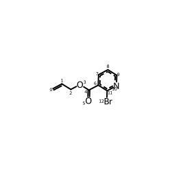 C=CCOC(=O)c1cccnc1Br